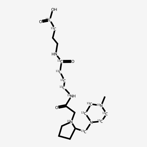 C[15N]1[13CH2][13CH2]N([13CH2]C2CCC[15N]2CC(=O)[15NH][13CH2][13CH2][13CH2][13C](=O)NCC[13CH2][13C](=O)O)[13CH2][13CH2]1